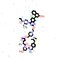 C=C(F)C(=O)N1CCN(c2nc(OCCN3CCC(COc4cc([C@H](C(=O)N5C[C@H](O)C[C@H]5C(=O)N[C@@H](C)c5ccc(-c6scnc6C)cc5)C(C)C)on4)CC3)nc3c(F)c(-c4cc(O)cc5ccccc45)c(Cl)cc23)C[C@@H]1CC#N